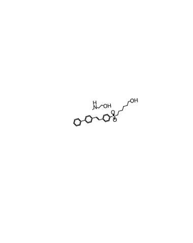 CNCCO.O=S(=O)(CCCCCCO)c1ccc(C=Cc2ccc(-c3ccccc3)cc2)cc1